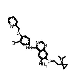 CN(C)C1(CCOc2cc3ncnc(Nc4ccc(OCc5ccccn5)c(Cl)c4)c3cc2N)CC1